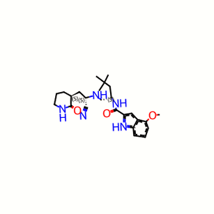 COc1cccc2[nH]c(C(=O)N[C@H](CN[C@H](C#N)C[C@@H]3CCCNC3=O)CC(C)(C)C)cc12